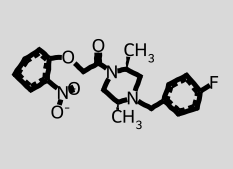 C[C@@H]1CN(C(=O)COc2ccccc2[N+](=O)[O-])[C@@H](C)CN1Cc1ccc(F)cc1